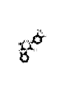 CCOC(=O)Nc1nc2ccccc2n1C(=N)Oc1ccc(Cl)c(C)c1